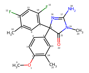 COc1ccc(C2(c3cc(C)c(F)cc3F)N=C(N)N(C)C2=O)cc1C